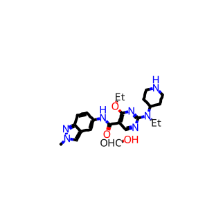 CCOc1nc(N(CC)C2CCNCC2)ncc1C(=O)Nc1ccc2nn(C)cc2c1.O=CO